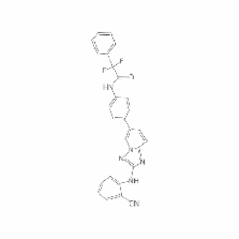 N#Cc1ccccc1Nc1nc2ccc(-c3ccc(NC(=O)C(F)(F)c4ccccc4)cc3)cn2n1